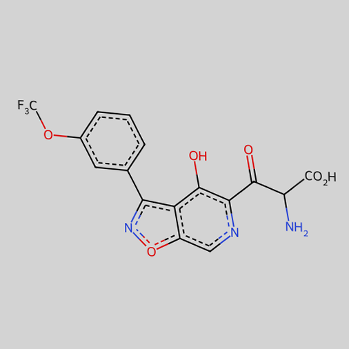 NC(C(=O)O)C(=O)c1ncc2onc(-c3cccc(OC(F)(F)F)c3)c2c1O